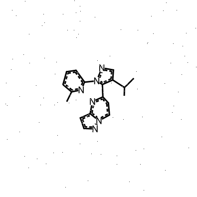 Cc1cccc(-n2ncc(C(C)C)c2-c2ccn3nccc3n2)n1